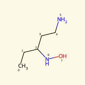 CCC(CCN)NO